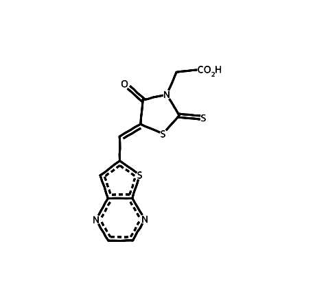 O=C(O)CN1C(=O)C(=Cc2cc3nccnc3s2)SC1=S